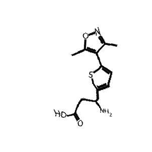 Cc1noc(C)c1-c1ccc(C(N)CC(=O)O)s1